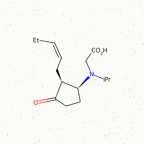 CC/C=C\C[C@@H]1C(=O)CC[C@@H]1N(CC(=O)O)C(C)C